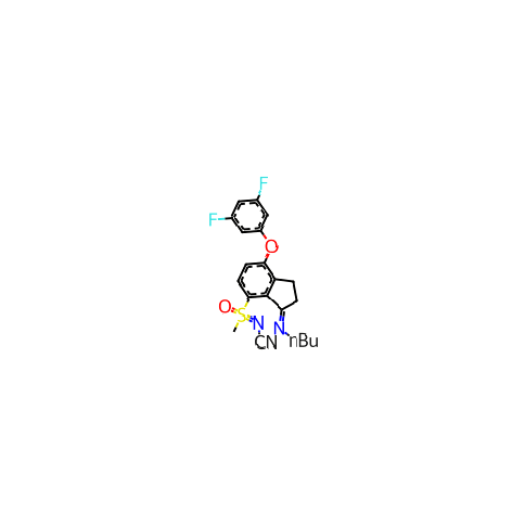 CCCCN=C1CCc2c(Oc3cc(F)cc(F)c3)ccc(S(C)(=O)=NC#N)c21